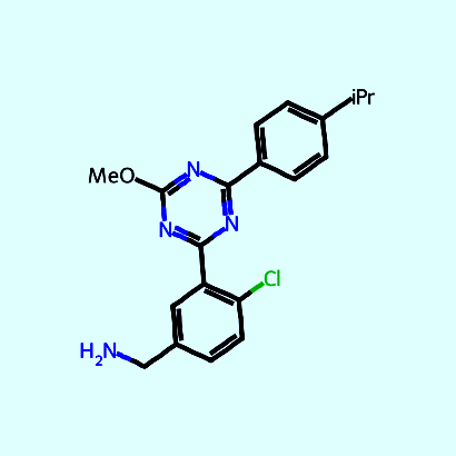 COc1nc(-c2ccc(C(C)C)cc2)nc(-c2cc(CN)ccc2Cl)n1